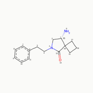 N[C@H]1CN(CCc2ccccc2)C(=O)C12CCC2